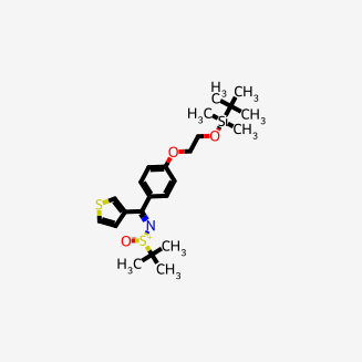 CC(C)(C)[S+]([O-])N=C(c1ccc(OCCO[Si](C)(C)C(C)(C)C)cc1)c1ccsc1